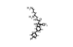 Cc1c(C(=O)NCC(N)CCCN)[nH]c2cc(-c3ccc(F)cc3)ccc12.Cl